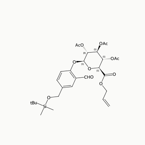 C=CCOC(=O)[C@H]1O[C@@H](Oc2ccc(CO[Si](C)(C)C(C)(C)C)cc2C=O)[C@H](OC(C)=O)[C@@H](OC(C)=O)[C@@H]1OC(C)=O